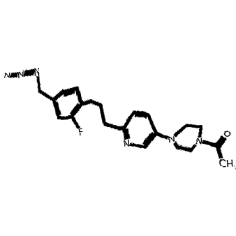 CC(=O)N1CCN(c2ccc(CCc3ccc(CN=[N+]=[N-])cc3F)nc2)CC1